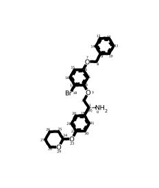 N[C@@H](COc1cc(OCc2ccccc2)ccc1Br)c1ccc(OC2CCCCO2)cc1